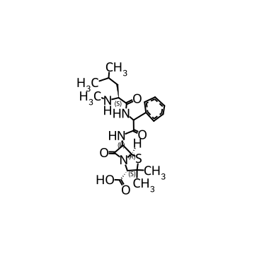 CN[C@@H](CC(C)C)C(=O)NC(C(=O)N[C@@H]1C(=O)N2[C@@H]1SC(C)(C)[C@@H]2C(=O)O)c1ccccc1